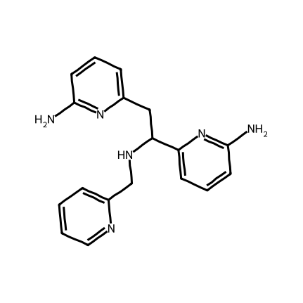 Nc1cccc(CC(NCc2ccccn2)c2cccc(N)n2)n1